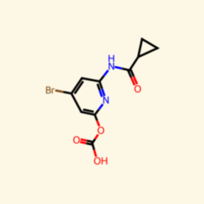 O=C(O)Oc1cc(Br)cc(NC(=O)C2CC2)n1